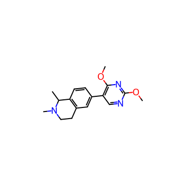 COc1ncc(-c2ccc3c(c2)CCN(C)C3C)c(OC)n1